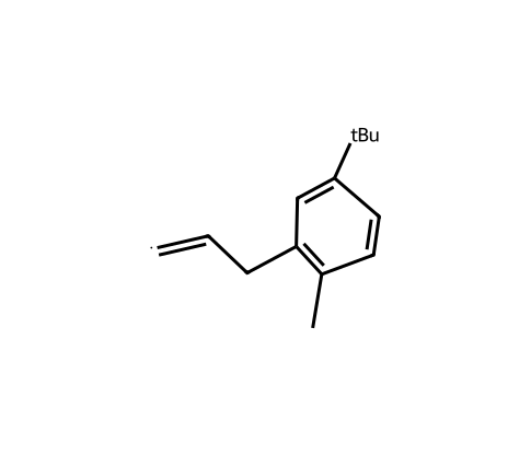 [CH]=CCc1cc(C(C)(C)C)ccc1C